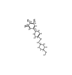 CCC1CCC(CCC2=CCC(c3cc(F)c(F)c(F)c3)CC2)CC1